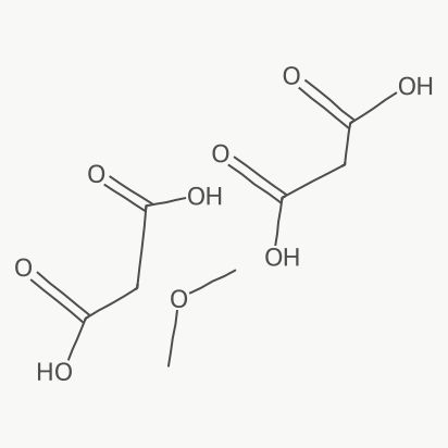 COC.O=C(O)CC(=O)O.O=C(O)CC(=O)O